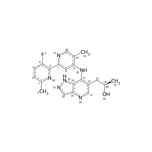 Cc1ccc(F)c(-c2cc(Nc3c(C[C@@H](C)O)cnc4cn[nH]c34)c(C)cn2)n1